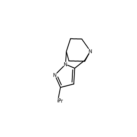 CC(C)c1cc2n(n1)C1CCN(CC1)C2